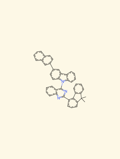 CC1(C)c2ccccc2-c2c(-c3nc(-n4c5ccccc5c5cc(-c6ccc7ccccc7c6)ccc54)c4ccccc4n3)cccc21